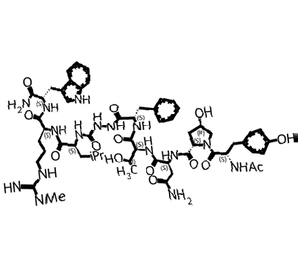 CNC(=N)NCCC[C@H](NC(=O)[C@H](CC(C)C)NC(=O)NNC(=O)[C@H](Cc1ccccc1)NC(=O)[C@@H](NC(=O)[C@H](CC(N)=O)NC(=O)[C@@H]1C[C@@H](O)CN1C(=O)[C@H](Cc1ccc(O)cc1)NC(C)=O)[C@@H](C)O)C(=O)N[C@@H](Cc1c[nH]c2ccccc12)C(N)=O